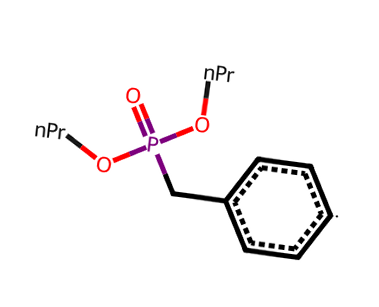 CCCOP(=O)(Cc1cc[c]cc1)OCCC